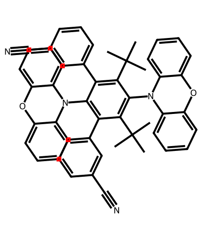 CC(C)(C)c1c(-c2cccc(C#N)c2)c(N2c3ccccc3Oc3ccccc32)c(-c2cccc(C#N)c2)c(C(C)(C)C)c1N1c2ccccc2Oc2ccccc21